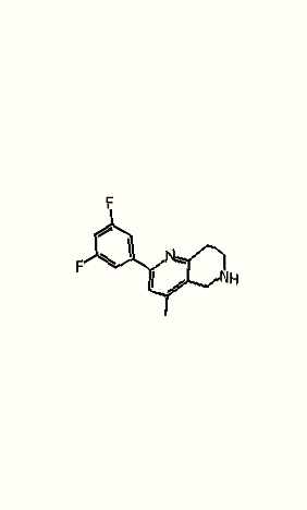 Cc1cc(-c2cc(F)cc(F)c2)nc2c1CNCC2